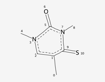 Cc1[c]n(C)c(=O)n(C)c1=S